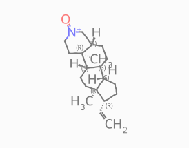 C=C[C@H]1CC[C@H]2[C@@H]3CC[C@H]4C[N+](=O)CC[C@]4(C)[C@H]3CC[C@]12C